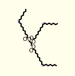 CCCCCC/C=C\CCCCCCCC(=O)OCC(COC(=O)CCCCCCC/C=C\CCCCCC)OC(=O)CCCCCCC/C=C\CCCCCC